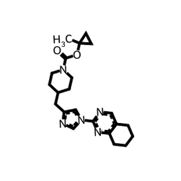 CC1(OC(=O)N2CCC(Cc3cn(-c4ncc5c(n4)CCCC5)cn3)CC2)CC1